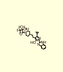 CC(O)(C(=O)N1CCC(CCc2c(C3CC3)nn(-c3nc4ccccc4[nH]3)c2O)CC1)C(F)(F)F